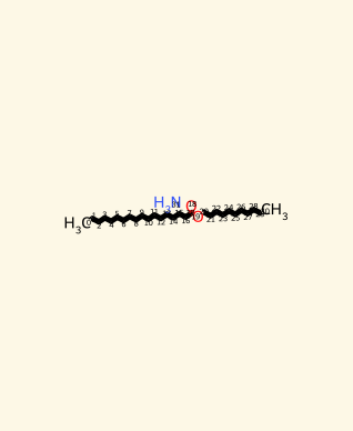 CCCCCCCCCCCCCCCCCC(=O)OCCCCCCCCCCC.N